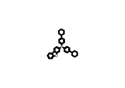 c1ccc2c(c1)oc1cc(N(c3ccc(C4CCCCC4)cc3)c3ccc(C4CCCCC4)cc3)ccc12